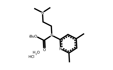 Cc1cc(C)nc(N(CCN(C)C)C(=O)OCC(C)C)c1.Cl.O